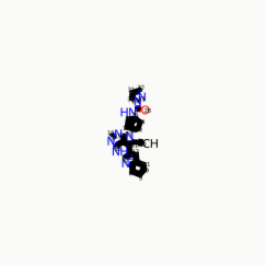 C#Cc1c(-c2cnc3ccccc3c2)c2c(N)ncnc2n1C12CCC(NC(=O)n3cccn3)(CC1)C2